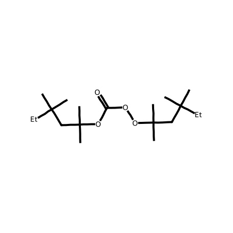 CCC(C)(C)CC(C)(C)OOC(=O)OC(C)(C)CC(C)(C)CC